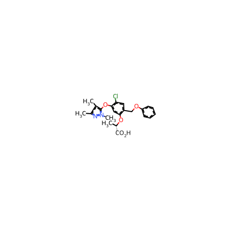 Cc1nn(C)c(Oc2cc(O[C@@H](C)C(=O)O)c(COc3ccccc3)cc2Cl)c1C